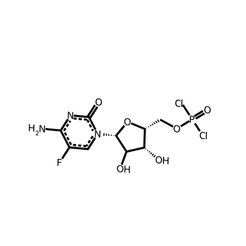 Nc1nc(=O)n([C@@H]2O[C@H](COP(=O)(Cl)Cl)[C@H](O)C2O)cc1F